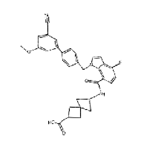 COc1cc(C#N)cc(-c2ccc(Cn3ccc4c(F)ccc(C(=O)NC5CC6(C5)CC(C(=O)O)C6)c43)cc2)c1